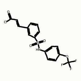 O=C(Cl)/C=C/c1cccc(S(=O)(=O)Nc2ccc(OC(F)(F)F)cc2)c1